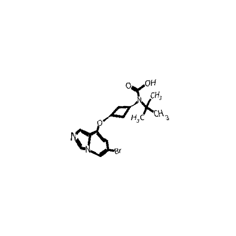 CC(C)(C)N(C(=O)O)[C@H]1C[C@@H](Oc2cc(Br)cn3cncc23)C1